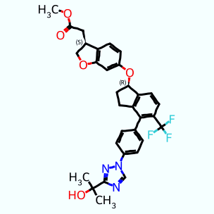 COC(=O)C[C@@H]1COc2cc(O[C@@H]3CCc4c3ccc(C(F)(F)F)c4-c3ccc(-n4cnc(C(C)(C)O)n4)cc3)ccc21